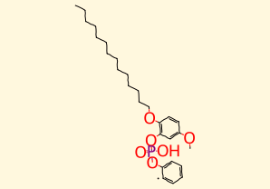 CCCCCCCCCCCCCCOc1ccc(OC)cc1OP(=O)(O)Oc1[c]cccc1